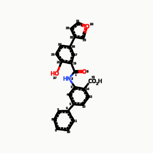 O=C(Nc1cc(-c2ccccc2)ccc1C(=O)O)c1cc(-c2ccoc2)ccc1O